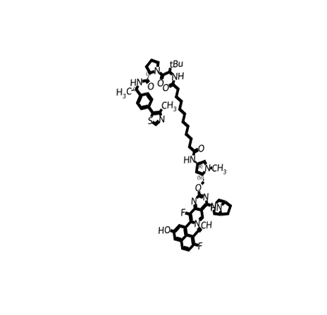 C#Cc1c(F)ccc2cc(O)cc(-c3ncc4c(N5CC6CCC(C5)N6)nc(OC[C@@H]5C[C@@H](NC(=O)CCCCCCCCCCC(=O)NC(C(=O)N6CCC[C@H]6C(=O)N[C@@H](C)c6ccc(-c7scnc7C)cc6)C(C)(C)C)CN5C)nc4c3F)c12